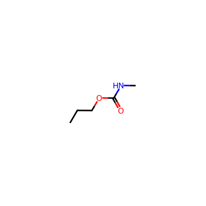 CCCOC(=O)NC